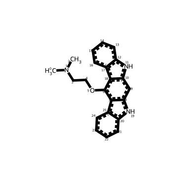 CN(C)CCOc1c2c(cc3[nH]c4ccccc4c13)[nH]c1ccccc12